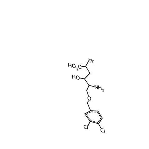 CC(C)C(CC(O)C(N)COCc1ccc(Cl)c(Cl)c1)C(=O)O